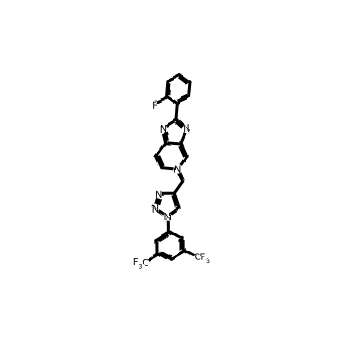 Fc1ccccc1-c1nc2ccn(Cc3cn(-c4cc(C(F)(F)F)cc(C(F)(F)F)c4)nn3)cc-2n1